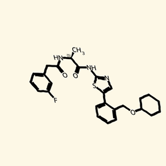 C[C@H](NC(=O)Cc1cccc(F)c1)C(=O)Nc1ncc(-c2ccccc2COC2CCCCC2)s1